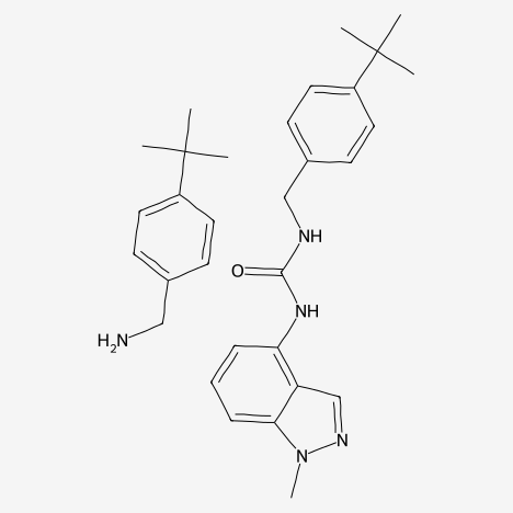 CC(C)(C)c1ccc(CN)cc1.Cn1ncc2c(NC(=O)NCc3ccc(C(C)(C)C)cc3)cccc21